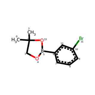 CC1(C)COB(c2cccc(Br)c2)O1